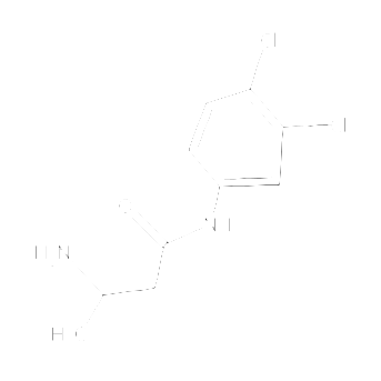 CC(N)CC(=O)Nc1ccc(Cl)c(Cl)c1